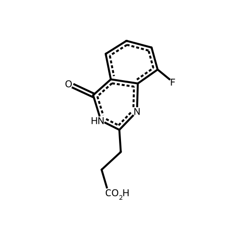 O=C(O)CCc1nc2c(F)cccc2c(=O)[nH]1